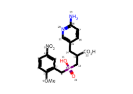 COc1ccc([N+](=O)[O-])cc1CP(=O)(O)CC(Cc1ccc(N)nc1)C(=O)O